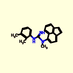 Cc1cccc(NC(=N)N(C)c2ccc3c4c(cccc24)C=C3)c1C